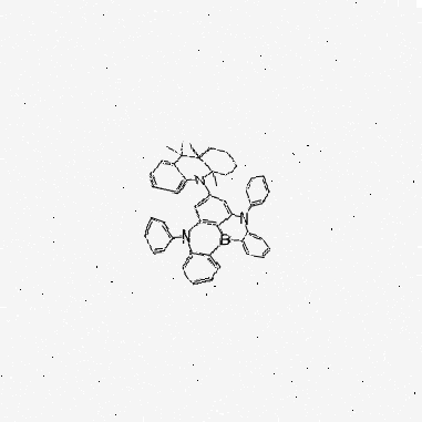 CC1(C)c2ccccc2N(c2cc3c4c(c2)N(c2ccccc2)c2ccccc2B4c2ccccc2N3c2ccccc2)C2(C)CCCCC12C